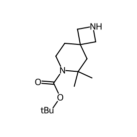 CC(C)(C)OC(=O)N1CCC2(CNC2)CC1(C)C